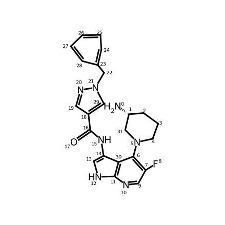 N[C@@H]1CCCN(c2c(F)cnc3[nH]cc(NC(=O)c4cnn(Cc5ccccc5)c4)c23)C1